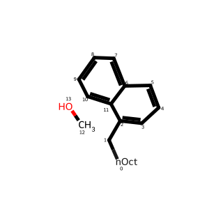 CCCCCCCCCc1cccc2ccccc12.CO